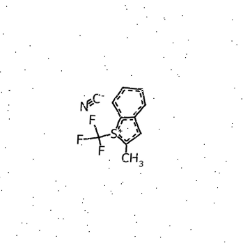 Cc1cc2ccccc2[s+]1C(F)(F)F.[C-]#N